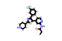 CCC(=O)Nc1cc(-c2sc(C3CCNCC3)nc2-c2cccc(Cl)c2)ccn1